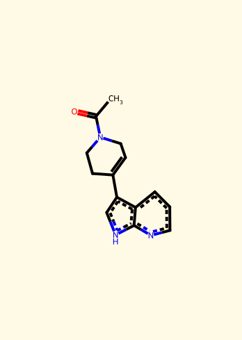 CC(=O)N1CC=C(c2c[nH]c3ncccc23)CC1